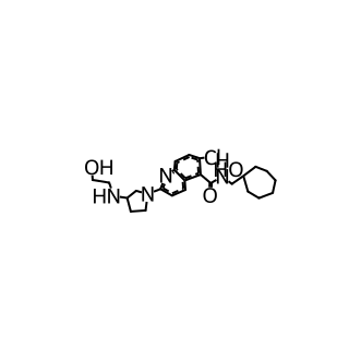 O=C(NCC1(O)CCCCCC1)c1c(Cl)ccc2nc(N3CCC(NCCO)C3)ccc12